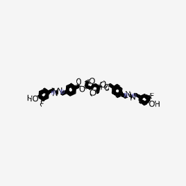 O=C(OC1COC2C1OC[C@H]2OOCc1ccc(/C=N/N=C/c2ccc(O)c(F)c2)cc1)c1ccc(/C=N/N=C/c2ccc(O)c(F)c2)cc1